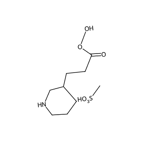 CS(=O)(=O)O.O=C(CCC1CCCNC1)OO